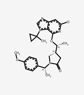 COc1ccc([C@@H](C)N2C[C@H]([C@@H](C)Oc3nc(Cl)cc4ncn(C5(C)CC5)c34)CC2=O)cc1